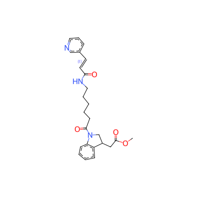 COC(=O)CC1CN(C(=O)CCCCCNC(=O)/C=C/c2cccnc2)c2ccccc21